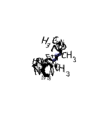 C=C(CC)/C(=C\C=C(/C)c1nc(C)no1)N(C)C1=NCCC2N=CN(C)[C@H]2C1